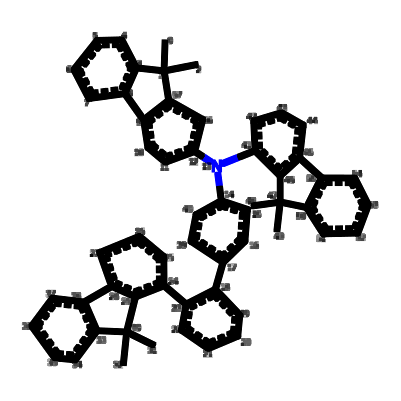 CC1(C)c2ccccc2-c2ccc(N(c3ccc(-c4ccccc4-c4cccc5c4C(C)(C)c4ccccc4-5)cc3)c3cccc4c3C(C)(C)c3ccccc3-4)cc21